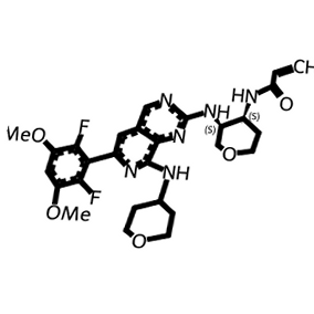 C=CC(=O)N[C@H]1CCOC[C@H]1Nc1ncc2cc(-c3c(F)c(OC)cc(OC)c3F)nc(NC3CCOCC3)c2n1